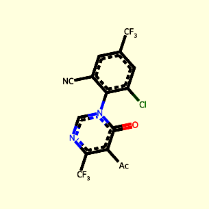 CC(=O)c1c(C(F)(F)F)ncn(-c2c(Cl)cc(C(F)(F)F)cc2C#N)c1=O